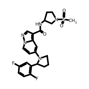 CS(=O)(=O)N1CCC(NC(=O)c2cnn3ccc(N4CCCC4c4cc(F)ccc4F)cc23)C1